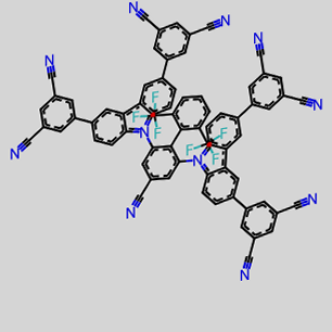 N#Cc1cc(C#N)cc(-c2ccc3c(c2)c2cc(-c4cc(C#N)cc(C#N)c4)ccc2n3-c2cc(C#N)cc(-n3c4ccc(-c5cc(C#N)cc(C#N)c5)cc4c4cc(-c5cc(C#N)cc(C#N)c5)ccc43)c2-c2c(C(F)(F)F)cccc2C(F)(F)F)c1